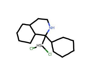 Cl[SiH](Cl)C1(C2CCCCC2)NCCC2CCCCC21